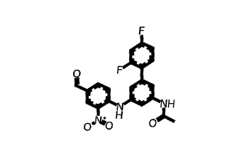 CC(=O)Nc1cc(Nc2ccc(C=O)cc2[N+](=O)[O-])cc(-c2ccc(F)cc2F)c1